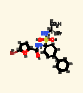 CC(C)[C@H](NS(=O)(=O)C1(NC(=O)c2ccc(Br)o2)C=CC(c2ccccc2)=CC1)C(=O)O